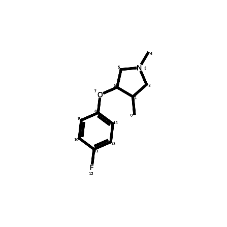 CC1CN(C)CC1Oc1ccc(F)cc1